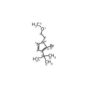 COCCn1ncc(C(C)(C)C)c1Br